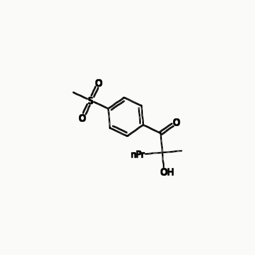 CCCC(C)(O)C(=O)c1ccc(S(C)(=O)=O)cc1